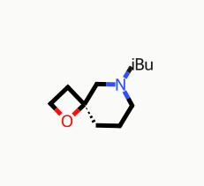 CCC(C)N1CCC[C@]2(CCO2)C1